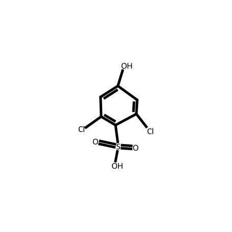 O=S(=O)(O)c1c(Cl)cc(O)cc1Cl